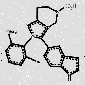 COc1cccc(C)c1-n1nc2c(c1-c1ccc3[nH]ccc3c1)CN(C(=O)O)CC2